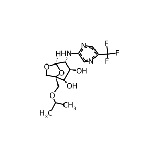 CC(C)OC[C@@]12CO[C@H](O1)[C@H](Nc1cnc(C(F)(F)F)cn1)[C@@H](O)[C@H]2O